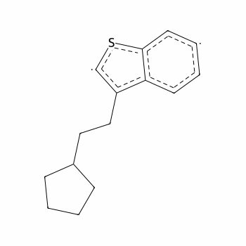 [c]1ccc2c(CCC3CCCC3)[c]sc2c1